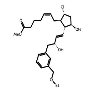 CCOCc1cccc(C[C@@H](O)/C=C/[C@@H]2[C@@H](C/C=C\CCCC(=O)OC)[C@H](Cl)C[C@H]2O)c1